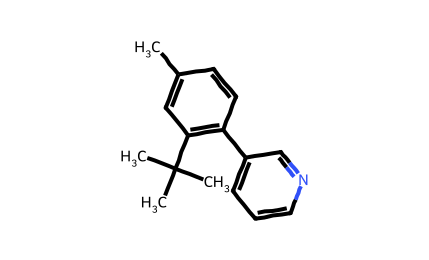 Cc1ccc(-c2cccnc2)c(C(C)(C)C)c1